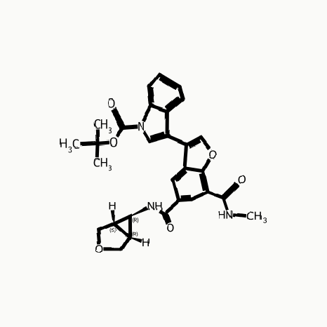 CNC(=O)c1cc(C(=O)N[C@H]2[C@@H]3COC[C@@H]32)cc2c(-c3cn(C(=O)OC(C)(C)C)c4ccccc34)coc12